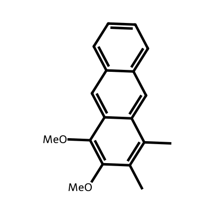 COc1c(C)c(C)c2cc3ccccc3cc2c1OC